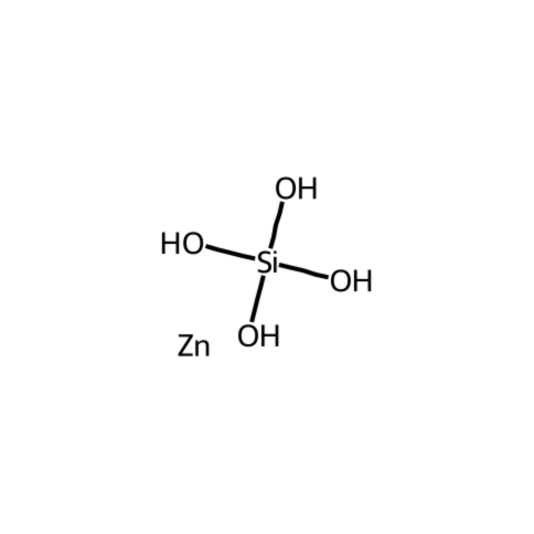 O[Si](O)(O)O.[Zn]